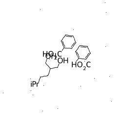 CC(C)CCC(CO)CO.O=C(O)c1ccccc1.O=C(O)c1ccccc1